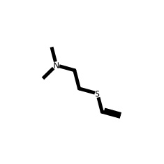 C=CSCCN(C)C